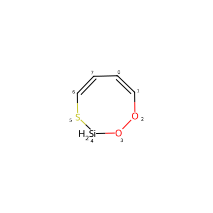 C1=C\OO[SiH2]S\C=C/1